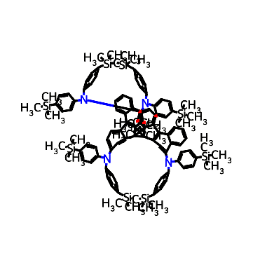 CC(C)(C)C12c3cc4ccc3-c3c1cc(c1ccccc31)N(c1ccc([Si](C)(C)C)cc1)c1ccc(cc1)[Si](C)(C)C[Si](C)(C)c1ccc(cc1)N(c1ccc([Si](C)(C)C)cc1)c1ccc3c(c1)C2(C(C)(C)C)c1cc(c2ccccc2c1-3)N(c1ccc([Si](C)(C)C)cc1)c1ccc(cc1)[Si](C)(C)C[Si](C)(C)c1ccc(cc1)N4c1ccc([Si](C)(C)C)cc1